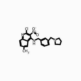 Cc1ccc2nc(Cl)c([N+](=O)[O-])c(NCc3cccc(CN4CCCC4)c3)c2c1